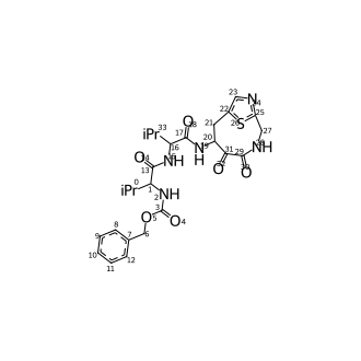 CC(C)C(NC(=O)OCc1ccccc1)C(=O)NC(C(=O)NC1Cc2cnc(s2)CNC(=O)C1=O)C(C)C